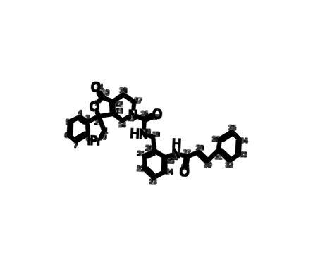 CC(C)CC1(c2ccccc2)OC(=O)C2=C1CN(C(=O)NCc1ccccc1NC(=O)/C=C/c1ccccc1)CC2